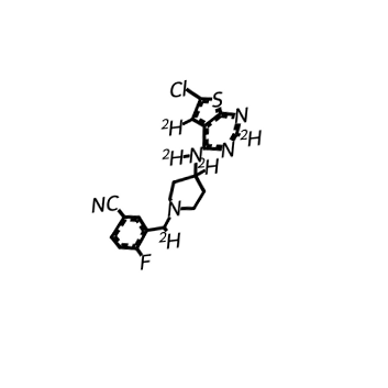 [2H]c1nc(N([2H])C2([2H])CCN(C([2H])c3cc(C#N)ccc3F)CC2)c2c([2H])c(Cl)sc2n1